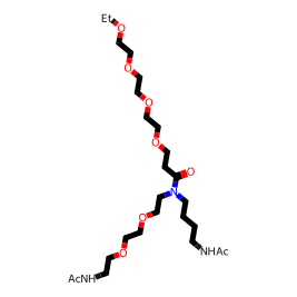 CCOCCOCCOCCOCCC(=O)N(CCCCNC(C)=O)CCOCCOCCNC(C)=O